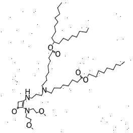 CCCCCCCCCOC(=O)CCCCCCCN(CCCCCCCC(=O)OC(CCCCCCCC)CCCCCCCC)CCCNC1=C(N(CCOC)CCOC)C(=O)C1